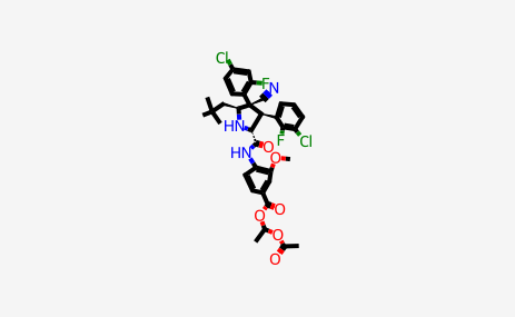 COc1cc(C(=O)OC(C)OC(C)=O)ccc1NC(=O)[C@@H]1N[C@@H](CC(C)(C)C)[C@](C#N)(c2ccc(Cl)cc2F)[C@H]1c1cccc(Cl)c1F